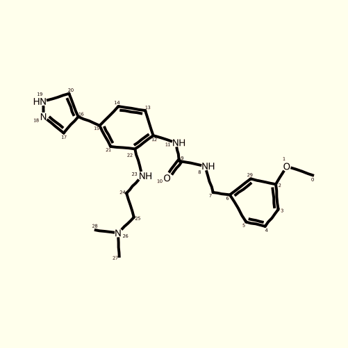 COc1cccc(CNC(=O)Nc2ccc(-c3cn[nH]c3)cc2NCCN(C)C)c1